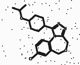 CC(C)OC1CCC(c2nnc3n2-c2ccc(Cl)cc2COC3)CC1